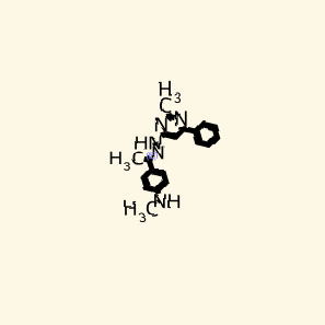 CNc1ccc(/C(C)=N/Nc2cc(-c3ccccc3)nc(C)n2)cc1